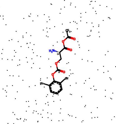 CC(C)c1cccc(C(C)C)c1OC(=O)OC[C@H](N)C(=O)OC(=O)C(F)(F)F